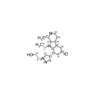 CCn1c2c(-c3cnn(CCO)c3)cc(Cl)cc2c2ccnc(C)c21